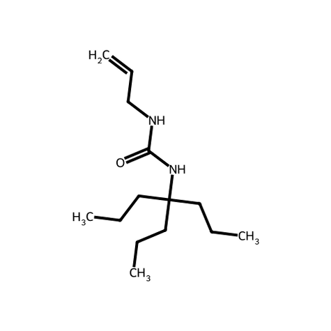 C=CCNC(=O)NC(CCC)(CCC)CCC